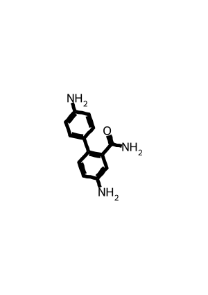 NC(=O)c1cc(N)ccc1-c1ccc(N)cc1